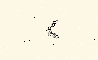 CNc1ccc(-c2ccc3cc(N(C)C)ccc3n2)cc1OCC(O)COS(=O)(=O)c1ccc(C)cc1